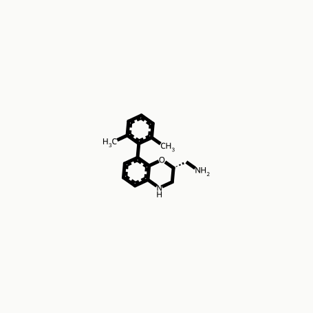 Cc1cccc(C)c1-c1cccc2c1O[C@H](CN)CN2